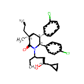 C=CC[C@@]1(C)C[C@H](c2cccc(Cl)c2)[C@@H](c2ccc(Cl)cc2)N(C(CC)C[C@H](O)C2CC2)C1=O